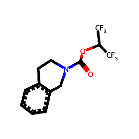 O=C(OC(C(F)(F)F)C(F)(F)F)N1CCc2ccccc2C1